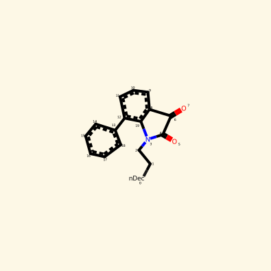 CCCCCCCCCCCCN1C(=O)C(=O)c2cccc(-c3ccccc3)c21